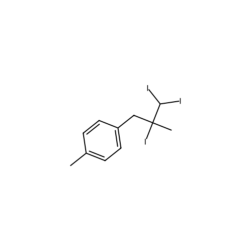 Cc1ccc(CC(C)(I)C(I)I)cc1